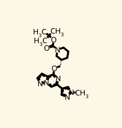 Cn1cc(-c2cn3nccc3c(OC[C@H]3CCCN(C(=O)OC(C)(C)C)C3)n2)cn1